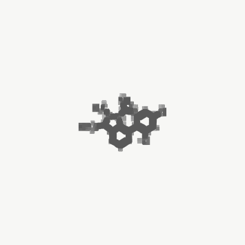 CN1C(S(=O)(=O)O)c2cccc(-c3ccc(Cl)cc3Cl)c2N1C(N)=O